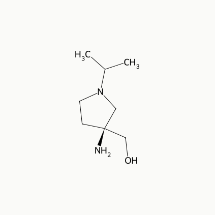 CC(C)N1CC[C@@](N)(CO)C1